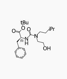 CC(C)CCN(CCO)C(=O)N[C@@H](Cc1ccccc1)C(=O)OC(C)(C)C